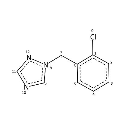 Clc1ccccc1[CH]n1cncn1